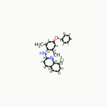 Cc1cc(Oc2ccccc2)cc(C)c1Nc1ccc2cccc(Cl)c2n1